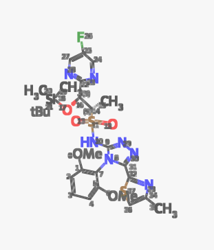 COc1cccc(OC)c1-n1c(NS(=O)(=O)[C@@H](C)[C@@H](O[Si](C)(C)C(C)(C)C)c2ncc(F)cn2)nnc1-c1nc(C)cs1